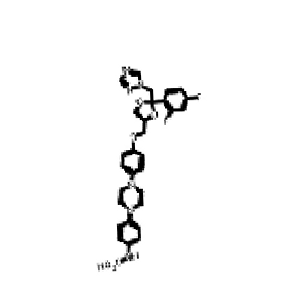 O=C(O)Nc1ccc(N2CCN(c3ccc(OCC4COC(Cn5cncn5)(c5ccc(F)cc5F)O4)cc3)CC2)cc1